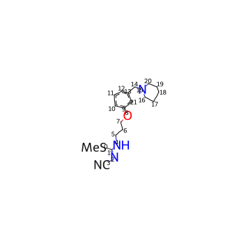 CS/C(=N\C#N)NCCCOc1cccc(CN2CCCCC2)c1